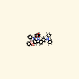 c1ccc(N(c2ccccc2)c2ccc3c(ccc4c5cc6c7c(c5n(-c5ccccc5)c34)N(c3ccccc3)c3ccccc3B7c3ccccc3O6)c2)cc1